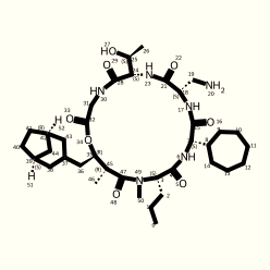 CCC[C@H]1C(=O)N[C@@H](C2CCCCCC2)C(=O)N[C@@H](CN)C(=O)N[C@@H]([C@H](C)O)C(=O)NCC(=O)O[C@H](CC2C[C@H]3CC[C@@H](C2)C3)[C@@H](C)C(=O)N1C